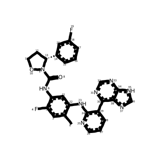 Cc1cc(F)c(NC(=O)N2OCC[C@@H]2c2cccc(F)c2)cc1Nc1ncccc1-c1ncnc2[nH]cnc12